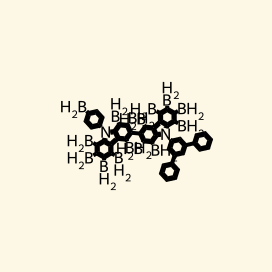 Bc1ccc(-n2c3c(B)c(B)c(B)c(B)c3c3c(B)c(-c4c(B)c(B)c5c(c4B)c4c(B)c(B)c(B)c(B)c4n5-c4cc(-c5ccccc5)cc(-c5ccccc5)c4)c(B)c(B)c32)cc1